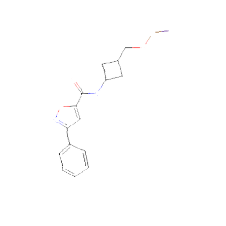 O=C(NC1CC(COSI)C1)c1cc(-c2ccccc2)no1